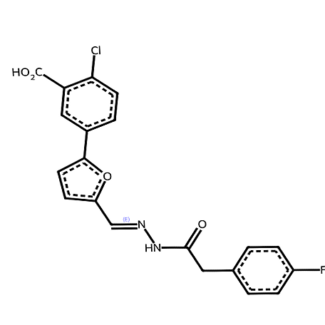 O=C(Cc1ccc(F)cc1)N/N=C/c1ccc(-c2ccc(Cl)c(C(=O)O)c2)o1